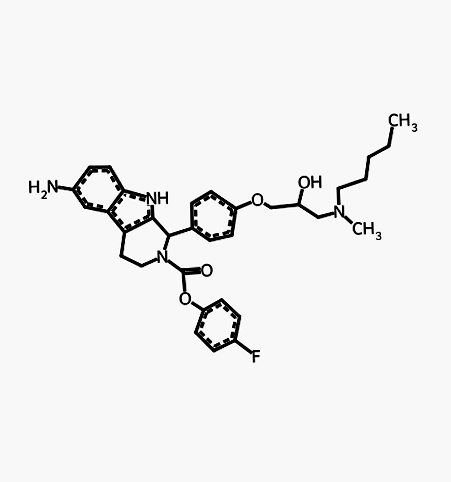 CCCCCN(C)CC(O)COc1ccc(C2c3[nH]c4ccc(N)cc4c3CCN2C(=O)Oc2ccc(F)cc2)cc1